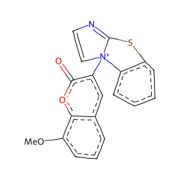 COc1cccc2cc([N+]34C=CN=C3Sc3ccccc34)c(=O)oc12